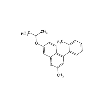 Cc1cc(-c2ccccc2C)c2ccc(OC(C)C(=O)O)cc2n1